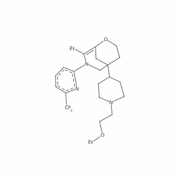 CCOCCN1CCC(C23CCOC(=C(CC)N(c4cccc(C(F)(F)F)n4)C2)C3)CC1